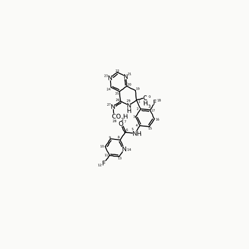 CC1(c2cc(NC(=O)c3ccc(F)cn3)ccc2F)Cc2ncncc2C(=NC(=O)O)N1